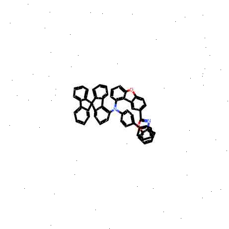 c1ccc(-c2ccc(N(c3cccc4c3-c3ccccc3C43c4ccccc4-c4ccccc43)c3cccc4oc5ccc(-c6nc7ccccc7o6)cc5c34)cc2)cc1